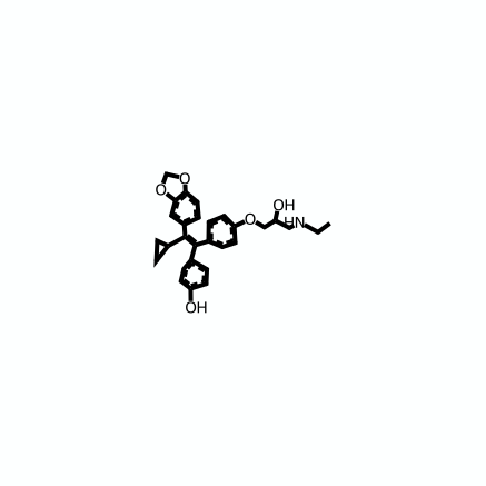 CCNCC(O)COc1ccc(C(=C(c2ccc3c(c2)OCO3)C2CC2)c2ccc(O)cc2)cc1